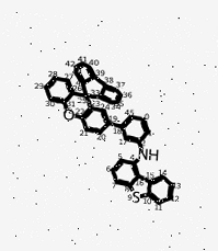 c1cc(Nc2cccc3sc4ccccc4c23)cc(-c2ccc3c(c2)C2(c4ccccc4O3)c3ccccc3-c3ccccc32)c1